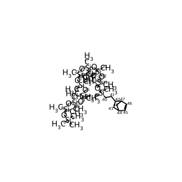 C[Si](C)(C)O[Si](C)(C)O[Si](C)(C)O[Si](C)(C)O[Si](C)(C)O[Si](C)(C)O[Si](C)(C)O[Si](C)(C)O[Si](C)(C)O[Si](C)(C)CCC1CC2C=CC1C2